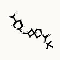 CC(C)(C)OC(=O)N1CCC2(CC(Nc3ccc(C(=O)O)cn3)C2)C1